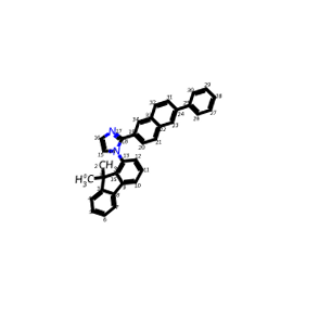 CC1(C)c2ccccc2-c2cccc(-n3ccnc3-c3ccc4cc(-c5ccccc5)ccc4c3)c21